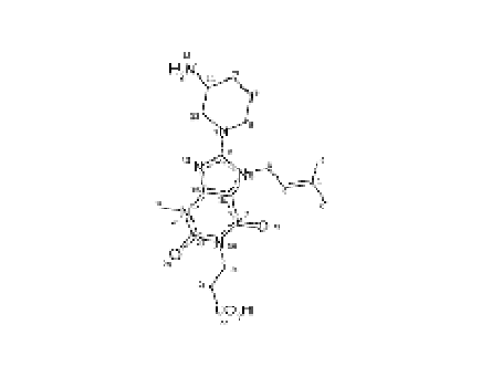 CC(C)=CCn1c(N2CCCC(N)C2)nc2c1c(=O)n(CCC(=O)O)c(=O)n2C